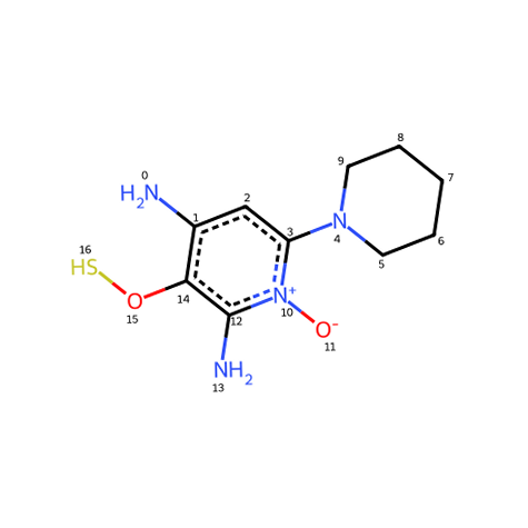 Nc1cc(N2CCCCC2)[n+]([O-])c(N)c1OS